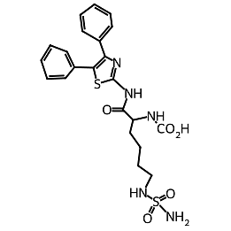 NS(=O)(=O)NCCCCC(NC(=O)O)C(=O)Nc1nc(-c2ccccc2)c(-c2ccccc2)s1